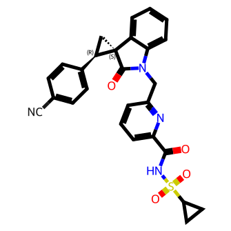 N#Cc1ccc([C@H]2C[C@]23C(=O)N(Cc2cccc(C(=O)NS(=O)(=O)C4CC4)n2)c2ccccc23)cc1